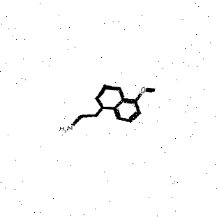 COc1cccc2c1CCCC2CCN